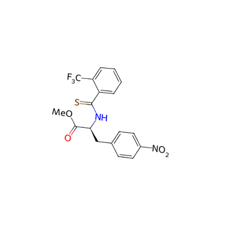 COC(=O)[C@H](Cc1ccc([N+](=O)[O-])cc1)NC(=S)c1ccccc1C(F)(F)F